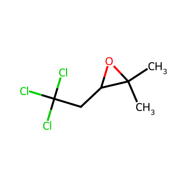 CC1(C)OC1CC(Cl)(Cl)Cl